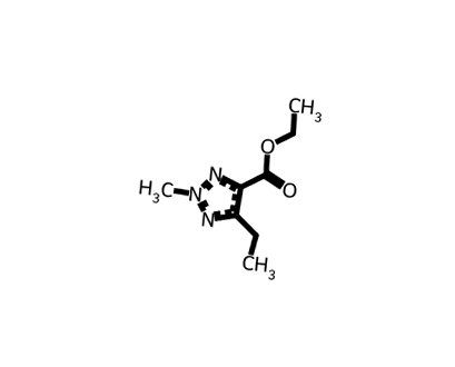 CCOC(=O)c1nn(C)nc1CC